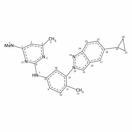 CNc1cc(C)nc(Nc2ccc(C)c(-n3cc4cc(C5CC5)ccc4n3)c2)n1